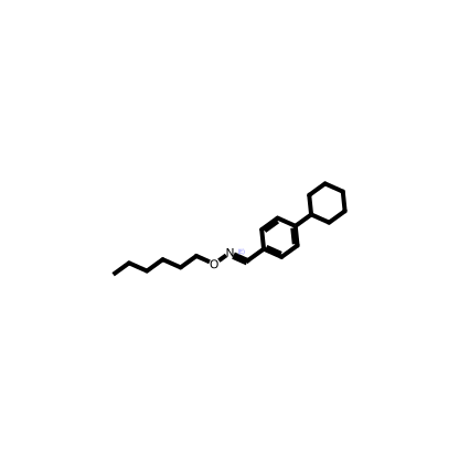 CCCCCCO/N=[C]/c1ccc(C2CCCCC2)cc1